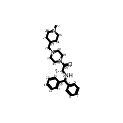 C[C@@H](NC(c1ccccc1)c1ccccc1)C(=O)N1CCN(CC2CCN(C)CC2)CC1